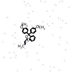 C/C=C/C(=O)OC(c1ccccc1)(c1ccc(OC)cc1)c1ccc(OC)cc1